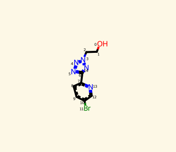 OCCn1nnc(-c2ccc(Br)cn2)n1